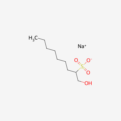 CCCCCCCC(CO)S(=O)(=O)[O-].[Na+]